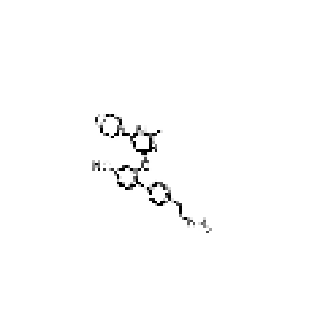 Cc1nc(Oc2cc(C#N)ccc2-c2ccc(CCN)cc2)cc(N2CCOCC2)n1